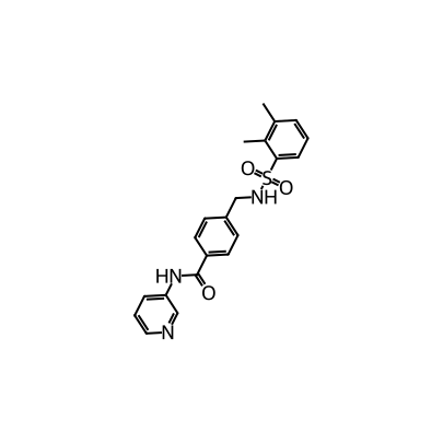 Cc1cccc(S(=O)(=O)NCc2ccc(C(=O)Nc3cccnc3)cc2)c1C